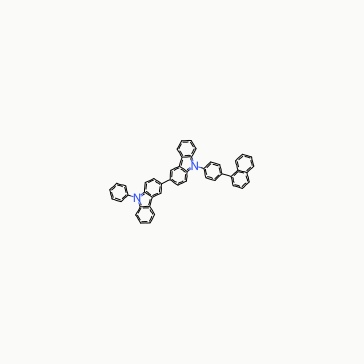 c1ccc(-n2c3ccccc3c3cc(-c4ccc5c(c4)c4ccccc4n5-c4ccc(-c5cccc6ccccc56)cc4)ccc32)cc1